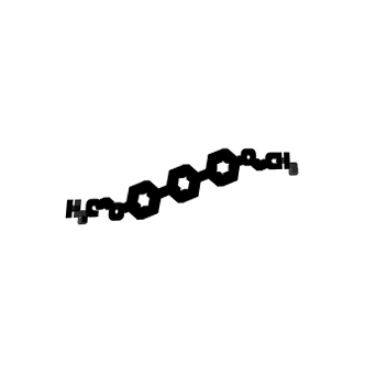 CCOc1ccc(-c2ccc(-c3ccc(OCC)cc3)cc2)cc1